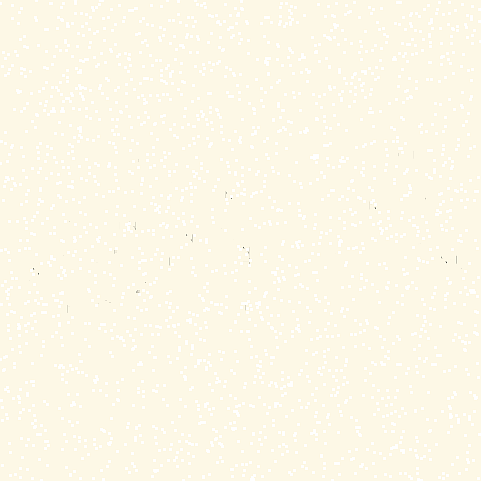 CCN1C(=O)[C@H](N)CCc2c1ccc(Nc1ncc(Cl)c(N[C@H]3[C@@H](C(N)=O)[C@@H]4C=C[C@H]3C4)n1)c2OC